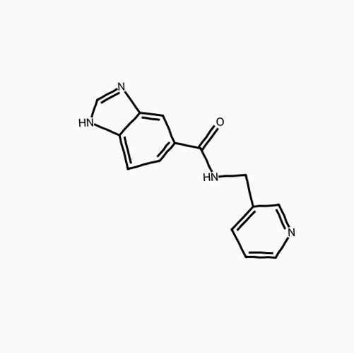 O=C(NCc1cccnc1)c1ccc2[nH]cnc2c1